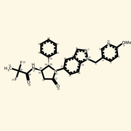 COc1ccc(Cn2ncc3cc(N4C(=O)C[C@@H](NC(=O)C(C)(F)F)[C@@H]4c4ccccc4)ccc32)cn1